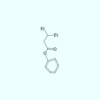 CCC(CC)CC(=O)Oc1ccccc1